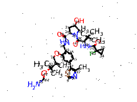 C=C(COc1cc(-c2scnc2C)ccc1CNC(=O)[C@@H]1C[C@@H](O)CN1C(=O)[C@@H](NC(=O)C1(F)CC1)C(C)(C)C)C(C)(C)OCN